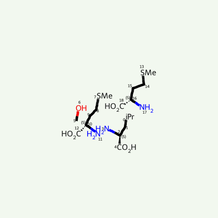 CC(C)C[C@H](N)C(=O)O.CO.CSCC[C@H](N)C(=O)O.CSCC[C@H](N)C(=O)O